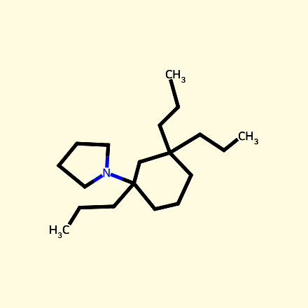 CCCC1(CCC)CCCC(CCC)(N2CCCC2)C1